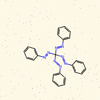 c1ccc(N=NC(N=Nc2ccccc2)(N=Nc2ccccc2)N=Nc2ccccc2)cc1